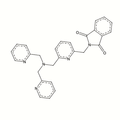 O=C1c2ccccc2C(=O)N1Cc1cccc(CN(Cc2ccccn2)Cc2ccccn2)n1